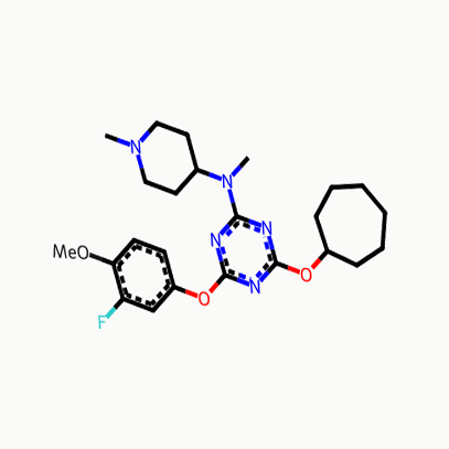 COc1ccc(Oc2nc(OC3CCCCCC3)nc(N(C)C3CCN(C)CC3)n2)cc1F